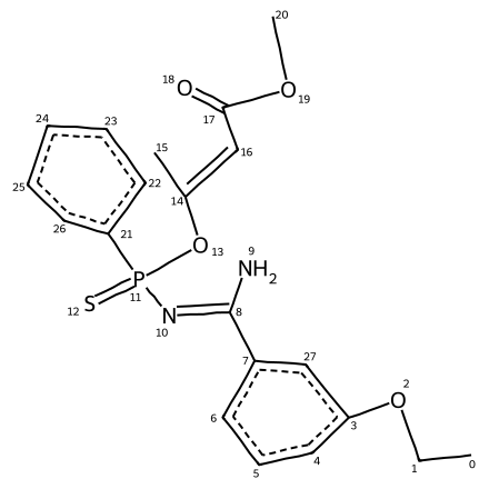 CCOc1cccc(C(N)=NP(=S)(OC(C)=CC(=O)OC)c2ccccc2)c1